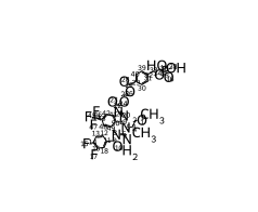 COCC(C)N(C(N)=NC(=O)c1ccc(F)c(F)c1)c1nn(C(=O)OCOC(=O)c2ccc(COP(=O)(O)O)cc2)c2cc(C(F)(F)F)ccc12